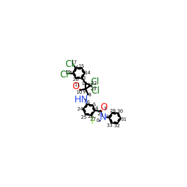 CN(C(=O)c1cc(NCC2(C=O)C(c3ccc(Cl)c(Cl)c3)C2(Cl)Cl)ccc1F)c1ccccc1